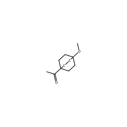 COC12CCC(C(C)=O)(CC1)CC2